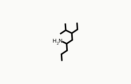 CCCC(N)CC(CC)C(C)C